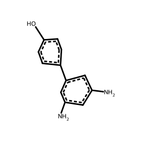 Nc1cc(N)cc(-c2ccc(O)cc2)c1